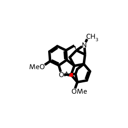 COc1ccc2c3c1OC1C4(OC)C=CC5(CC4C(C)=O)C4N(C)[C@]4(C2)CC315